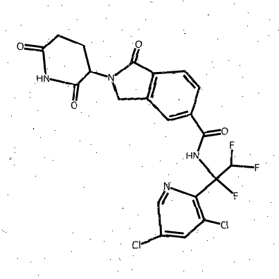 O=C1CCC(N2Cc3cc(C(=O)NC(F)(c4ncc(Cl)cc4Cl)C(F)F)ccc3C2=O)C(=O)N1